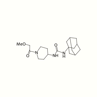 COCC(=O)N1CCC(NC(=O)NC23CC4CC(CC(C4)C2)C3)CC1